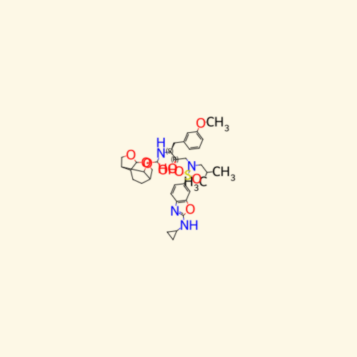 COc1cccc(C[C@H](NC(O)OC2C3CCC4C(OC3)OCC42)[C@H](O)CN(CC(C)C)S(=O)(=O)c2ccc3nc(NC4CC4)oc3c2)c1